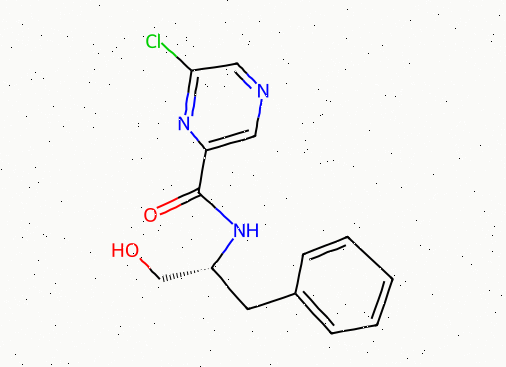 O=C(N[C@@H](CO)Cc1ccccc1)c1cncc(Cl)n1